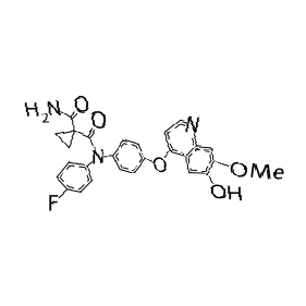 COc1cc2nccc(Oc3ccc(N(C(=O)C4(C(N)=O)CC4)c4ccc(F)cc4)cc3)c2cc1O